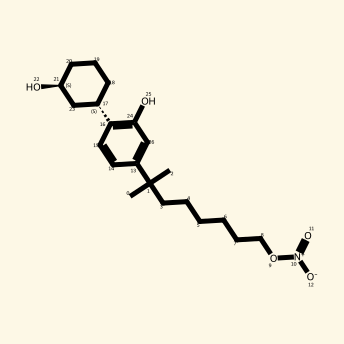 CC(C)(CCCCCCO[N+](=O)[O-])c1ccc([C@H]2CCC[C@H](O)C2)c(O)c1